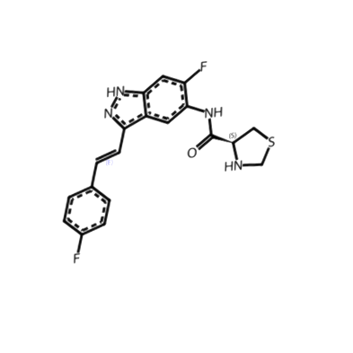 O=C(Nc1cc2c(/C=C/c3ccc(F)cc3)n[nH]c2cc1F)[C@H]1CSCN1